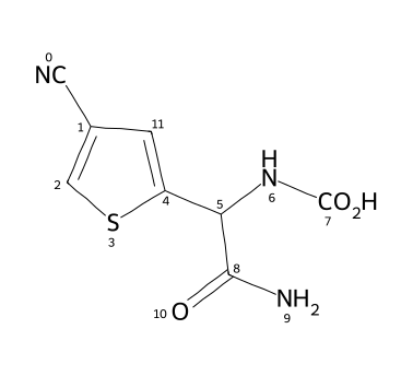 N#Cc1csc(C(NC(=O)O)C(N)=O)c1